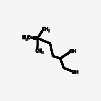 C[PH](C)(C)CCC(O)CO